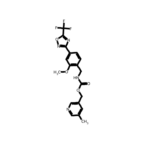 COc1cc(-c2noc(C(F)(F)F)n2)ccc1CNC(=O)OCc1cncc(C)c1